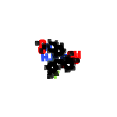 COC(=O)N1CCc2ccc(N(CC3(C(=O)O)CCCCC3)[C@@H](C)Cc3ccc(C)c(F)c3)c(N)c2C1